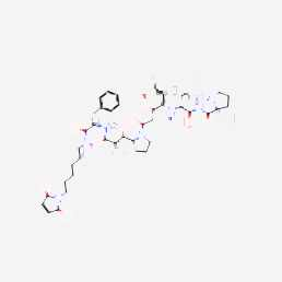 CC[C@H](C)[C@@H]([C@@H](CC(=O)N1CCC[C@H]1[C@H](OC)[C@@H](C)C(=O)N[C@@H](Cc1ccccc1)C(=O)NCCCCCCN1C(=O)C=CC1=O)OC)N(C)[C@H](C(=O)NC(=O)[C@]1(C)CCCN1C)C(C)C